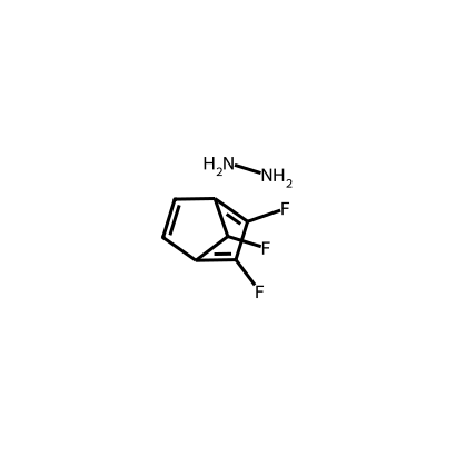 FC1=C2C=CC(=C1F)C2F.NN